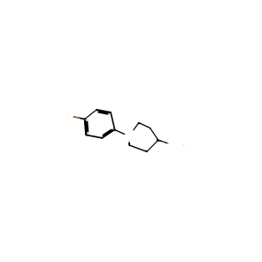 CCCCCC1CC[SiH](c2ccc(Br)cc2)CC1